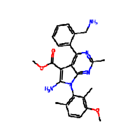 COC(=O)c1c(N)n(-c2c(C)ccc(OC)c2C)c2nc(C)nc(-c3ccccc3CN)c12